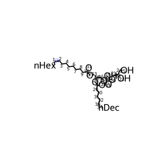 CCCCCC/C=C\CCCCCCCC(=O)OC[C@H](COP(=O)(O)OC[C@@H](O)CO)OC(=O)CCCCCCCCCCCCCCC